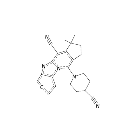 CC1(C)CCc2c1c(C#N)c1nc3ccccc3n1c2N1CCC(C#N)CC1